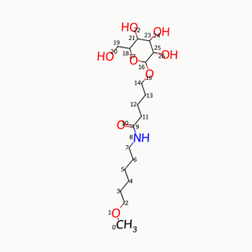 COCCCCCCNC(=O)CCCCOC1OC(CO)C(O)C(O)C1O